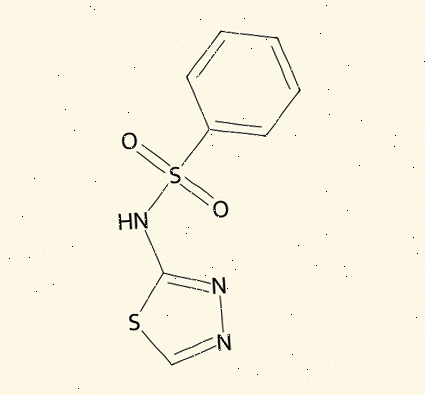 O=S(=O)(Nc1nncs1)c1ccccc1